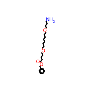 NCCCCOCCCCCCCCOCCCCC(=O)OCc1ccccc1